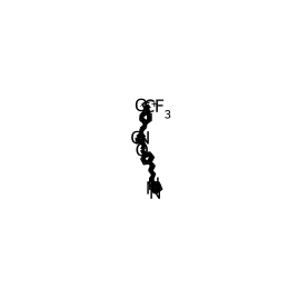 [O-][S+](c1ccc(/C=C/c2nc(COc3ccc(/C=C/CCn4ccnn4)cc3)co2)cc1)C(F)(F)F